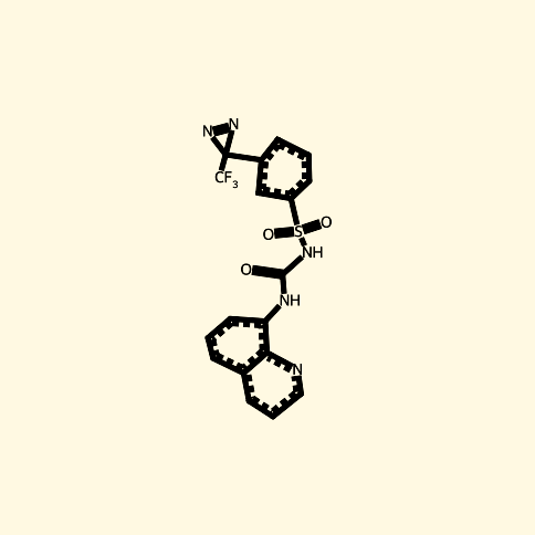 O=C(Nc1cccc2cccnc12)NS(=O)(=O)c1cccc(C2(C(F)(F)F)N=N2)c1